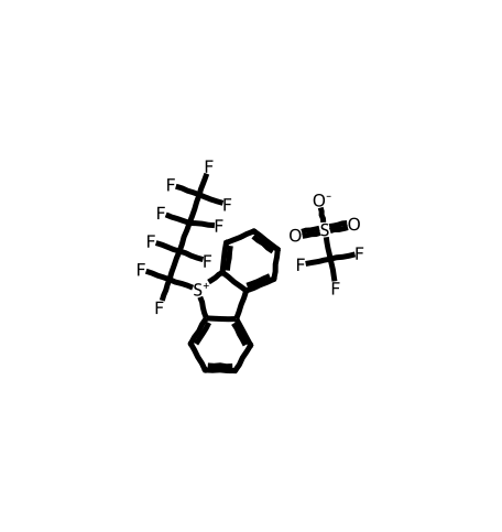 FC(F)(F)C(F)(F)C(F)(F)C(F)(F)[s+]1c2ccccc2c2ccccc21.O=S(=O)([O-])C(F)(F)F